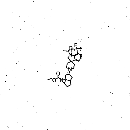 CCOC(=O)N1C2CCC3CC(N4CCC5(CC4)CN(C(C)=O)c4c(C(F)(F)F)cccc45)CC321